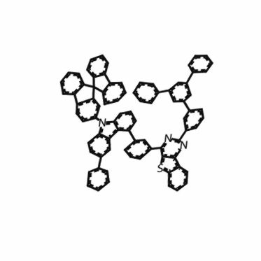 c1ccc(-c2cc(-c3ccccc3)cc(-c3cccc(-c4nc(-c5cccc(-c6cccc7c6c6cc(-c8ccccc8)ccc6n7-c6ccc7c(c6)C6(c8ccccc8-c8ccccc86)c6ccccc6-7)c5)c5sc6ccccc6c5n4)c3)c2)cc1